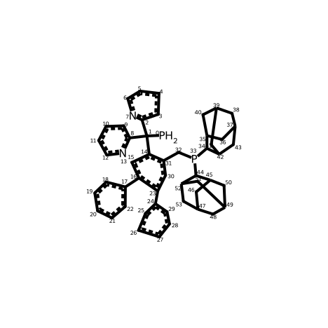 PC(c1ccccn1)(c1ccccn1)c1cc(-c2ccccc2)c(-c2ccccc2)cc1CP(C1C2CC3CC(C2)CC1C3)C1C2CC3CC(C2)CC1C3